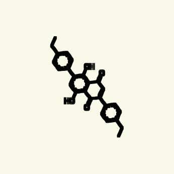 CCc1ccc(C2=CC(=O)c3c(O)c(-c4ccc(CC)cc4)cc(O)c3C2=O)cc1